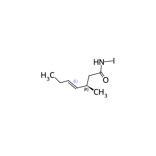 CC/C=C/[C@H](C)CC(=O)NI